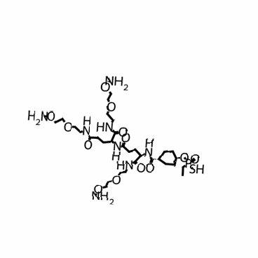 CCP(=O)(S)O[C@H]1CC[C@H](C(=O)NC(CCC(=O)NC(CCC(=O)NCCOCCON)C(=O)NCCOCCON)C(=O)NCCOCCON)CC1